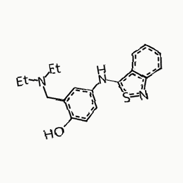 CCN(CC)Cc1cc(Nc2snc3ccccc23)ccc1O